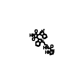 Cn1cc(C2=C(c3cn(CCCNC(=O)c4ncc[nH]4)c4ccccc34)C(=O)NC2=O)c2ccccc21